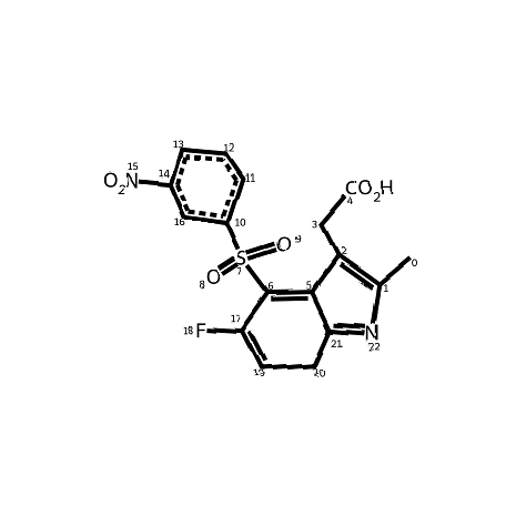 CC1=C(CC(=O)O)C2=C(S(=O)(=O)c3cccc([N+](=O)[O-])c3)C(F)=CCC2=N1